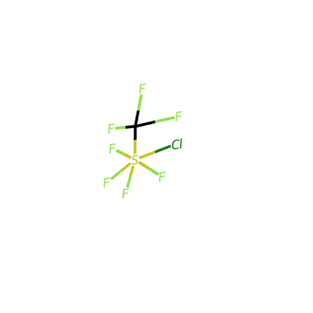 FC(F)(F)S(F)(F)(F)(F)Cl